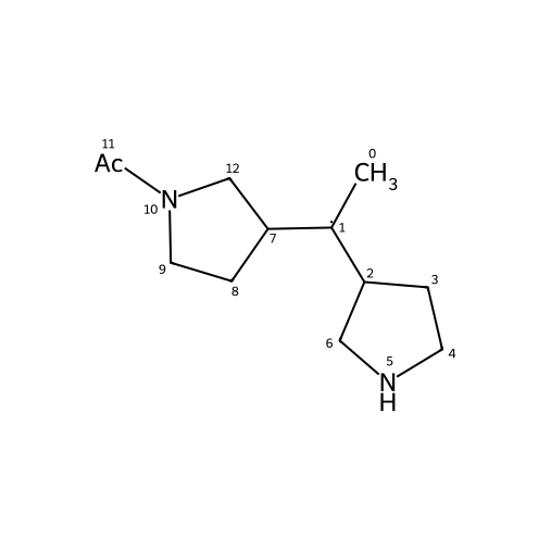 C[C](C1CCNC1)C1CCN(C(C)=O)C1